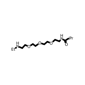 CCNCCOCCOCCOCCNC(=O)C(C)C